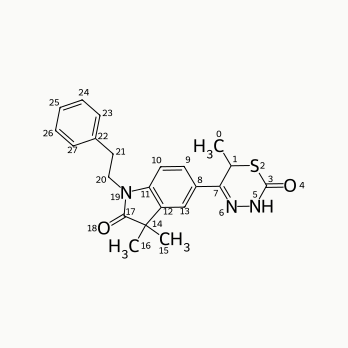 CC1SC(=O)NN=C1c1ccc2c(c1)C(C)(C)C(=O)N2CCc1ccccc1